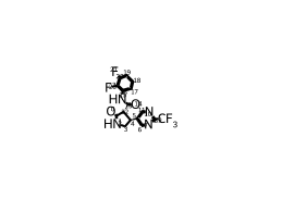 O=C1NC[C@H](c2cnc(C(F)(F)F)nc2)[C@H]1C(=O)Nc1cccc(F)c1F